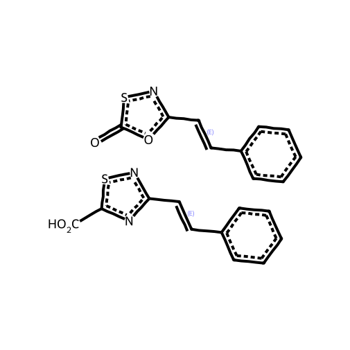 O=C(O)c1nc(/C=C/c2ccccc2)ns1.O=c1oc(/C=C/c2ccccc2)ns1